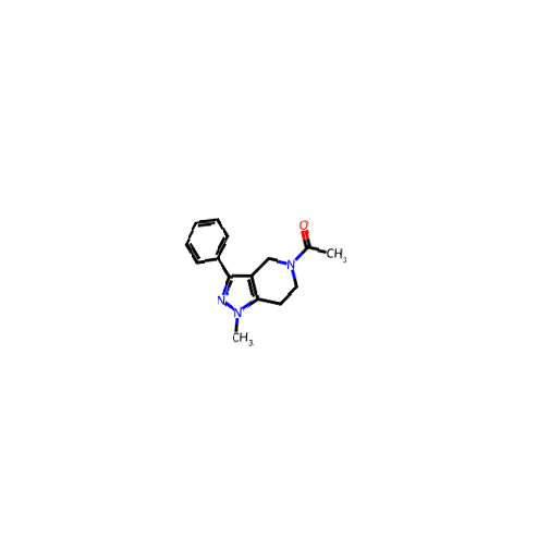 CC(=O)N1CCc2c(c(-c3ccccc3)nn2C)C1